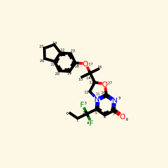 CCC(F)(F)c1cc(=O)nc2n1CC(C(C)(C)Oc1ccc3c(c1)CCC3)O2